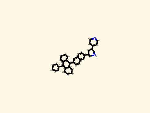 C1=NC=C(c2ccc3cc(-c4c5ccccc5c(-c5ccccc5)c5ccccc45)ccc3c2)CC1c1ccncc1